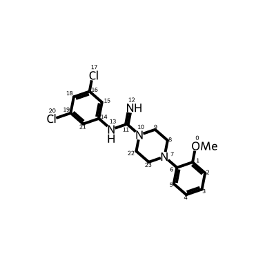 COc1ccccc1N1CCN(C(=N)Nc2cc(Cl)cc(Cl)c2)CC1